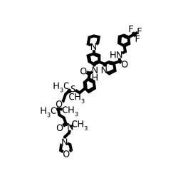 CN(CCN1CCOCC1)C(=O)CCC(C)(C)OCCC(C)(C)SCc1cccc(C(=O)Nc2ccc(N3CCCCC3)cc2-c2cc(C(=O)NCc3cccc(C(F)(F)F)c3)ccn2)c1